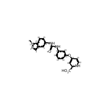 Cn1ncc2cc(NC(=O)Nc3cccc(OC4=CC(C(=O)O)NC=C4)c3)ccc21